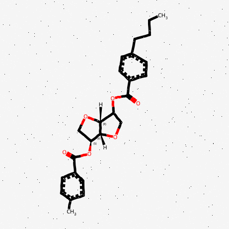 CCCCc1ccc(C(=O)OC2CO[C@@H]3[C@@H](OC(=O)c4ccc(C)cc4)CO[C@H]23)cc1